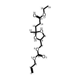 C=CCOC(=O)OCC1COC(C)(CCC(=O)OCC)O1